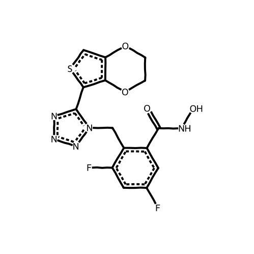 O=C(NO)c1cc(F)cc(F)c1Cn1nnnc1-c1scc2c1OCCO2